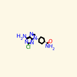 Nc1nc(Cl)nc2c1ncn2[C@H]1CC[C@@H](C(N)=O)CC1